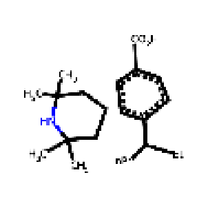 CC1(C)CCCC(C)(C)N1.CCCC(CC)c1ccc(C(=O)O)cc1